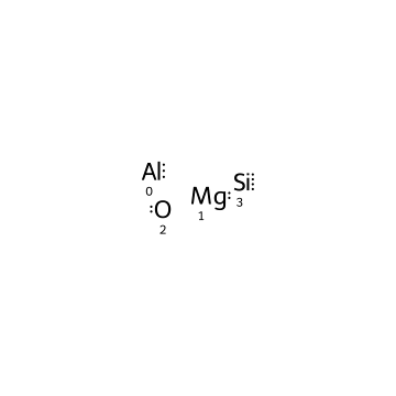 [Al].[Mg].[O].[Si]